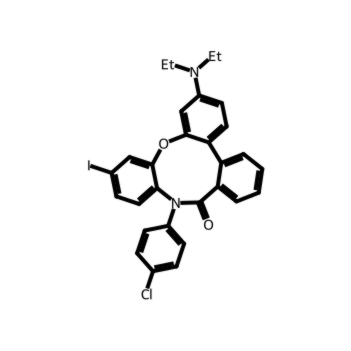 CCN(CC)c1ccc2c(c1)oc1cc(I)ccc1n(-c1ccc(Cl)cc1)c(=O)c1ccccc12